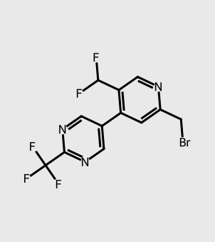 FC(F)c1cnc(CBr)cc1-c1cnc(C(F)(F)F)nc1